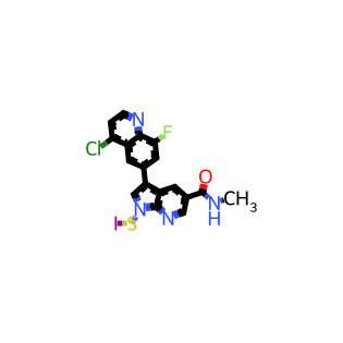 CNC(=O)c1cnc2c(c1)c(-c1cc(F)c3nccc(Cl)c3c1)cn2SI